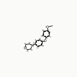 COc1ccc(Oc2ccc(N3CCOCC3)cc2)cc1